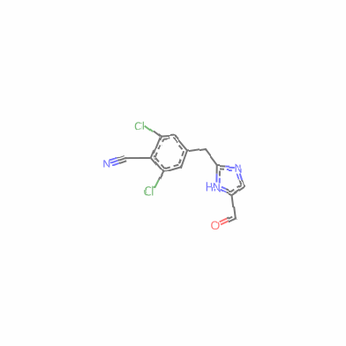 N#Cc1c(Cl)cc(Cc2ncc(C=O)[nH]2)cc1Cl